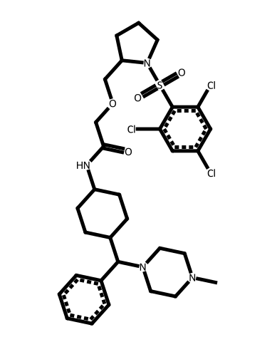 CN1CCN(C(c2ccccc2)C2CCC(NC(=O)COCC3CCCN3S(=O)(=O)c3c(Cl)cc(Cl)cc3Cl)CC2)CC1